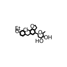 CCOc1ccc(Cc2cc(C3CC(O)[C@H](O)C(C)O3)c3c(c2Cl)OCC3)cc1